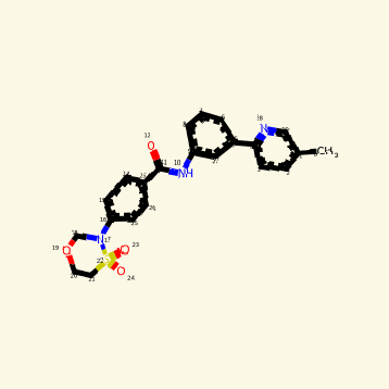 Cc1ccc(-c2cccc(NC(=O)c3ccc(N4COCCS4(=O)=O)cc3)c2)nc1